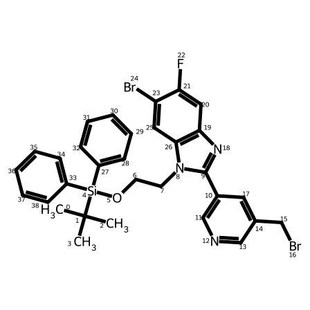 CC(C)(C)[Si](OCCn1c(-c2cncc(CBr)c2)nc2cc(F)c(Br)cc21)(c1ccccc1)c1ccccc1